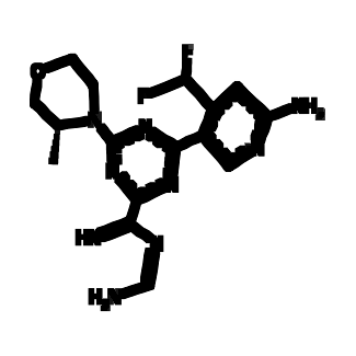 C[C@@H]1COCCN1c1nc(C(=N)/N=C\N)nc(-c2cnc(N)cc2C(F)F)n1